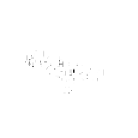 CC(=O)Nc1ccc(C(=O)N[C@H](C(=O)NC2C(=O)N3C(C(=O)O)=C(CSc4nnnn4C)CS[C@@H]23)c2ccccc2)c(OC(C)=O)c1